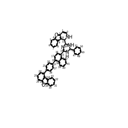 C1=Cc2oc3ccccc3c2C(C2N=C(c3ccc(-c4ccc(-c5cccc6oc7ccccc7c56)cc4)c4ccccc34)NC(c3ccccc3)N2)N1